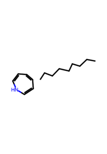 C1=CC=CNC=C1.CCCCCCCCC